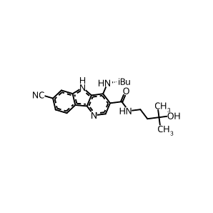 CC[C@@H](C)Nc1c(C(=O)NCCC(C)(C)O)cnc2c1[nH]c1cc(C#N)ccc12